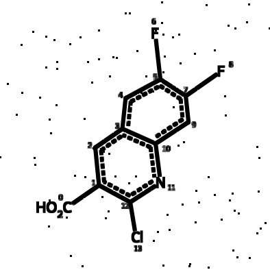 O=C(O)c1cc2cc(F)c(F)cc2nc1Cl